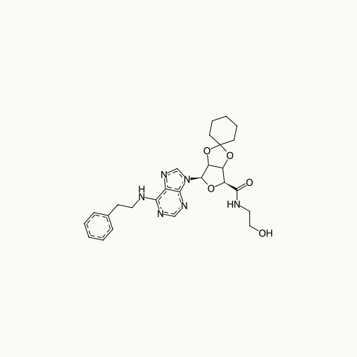 O=C(NCCO)[C@H]1O[C@@H](n2cnc3c(NCCc4ccccc4)ncnc32)C2OC3(CCCCC3)OC21